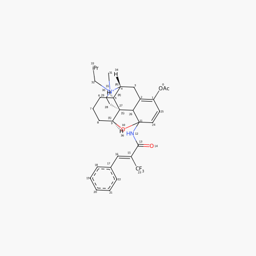 CC(=O)OC1=C2C[C@@H]3[C@@H]4CCC[C@@H]5OC(NC(=O)C(=Cc6ccccc6)C(F)(F)F)(C=C1)C2[C@@]54CC[N+]3(C)CC(C)C